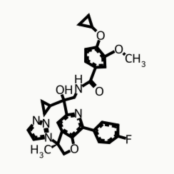 COc1cc(C(=O)NCC(O)(c2cc3c(c(-c4ccc(F)cc4)n2)OC[C@]3(C)n2ccnn2)C2CC2)ccc1OC1CC1